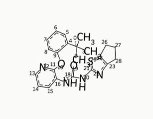 CC(C)(C)c1ccccc1Oc1ncccc1NC(=O)Nc1nc2c(s1)CCC2